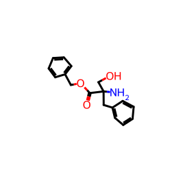 NC(CO)(Cc1ccccc1)C(=O)OCc1ccccc1